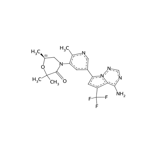 Cc1ncc(-c2cc(C(F)(F)F)c3c(N)ncnn23)cc1N1C[C@H](C)OC(C)(C)C1=O